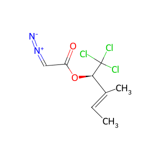 C/C=C(\C)[C@@H](OC(=O)C=[N+]=[N-])C(Cl)(Cl)Cl